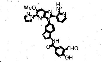 COc1cc2nc(-c3cccnc3N)n(-c3ccc4c(c3)CC[C@@H]4NC(=O)c3ccc(O)c(C=O)c3)c2nc1-n1cccn1